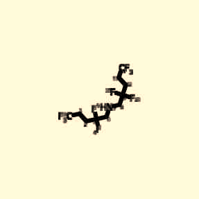 FC(F)(F)CCC(F)(F)CNCC(F)(F)CCC(F)(F)F